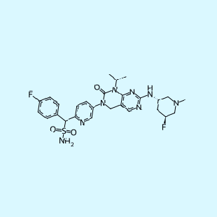 CC(C)N1C(=O)N(c2ccc(C(c3ccc(F)cc3)S(N)(=O)=O)nc2)Cc2cnc(N[C@H]3C[C@H](F)CN(C)C3)nc21